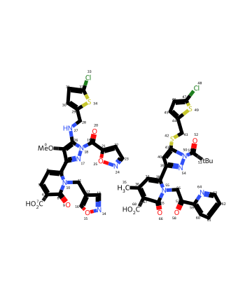 COc1c(-c2ccc(C(=O)O)c(=O)n2Cc2cnoc2)nn(C(=O)c2ccno2)c1NCc1ccc(Cl)s1.Cc1cc(-c2cc(SCc3ccc(Cl)s3)n(C(=O)C(C)(C)C)n2)n(CC(=O)c2ccccn2)c(=O)c1C(=O)O